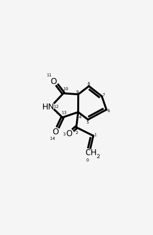 C=CC(=O)C12C=CC=CC1C(=O)NC2=O